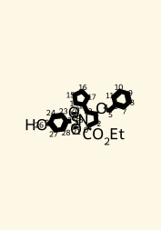 CCOC(=O)[C@H]1C[C@H](OCc2ccccc2)C(C2CCCC2)N1S(=O)(=O)c1ccc(O)cc1